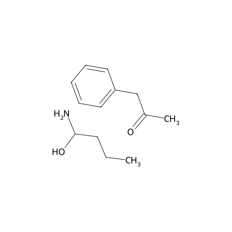 CC(=O)Cc1ccccc1.CCCC(N)O